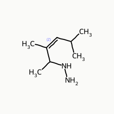 C/C(=C/C(C)C)C(C)NN